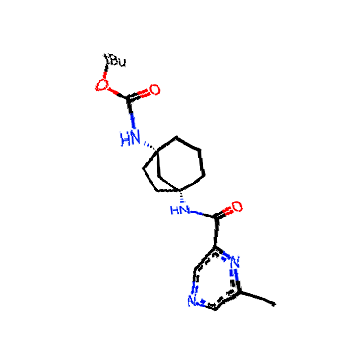 Cc1cncc(C(=O)N[C@]23CCC[C@](NC(=O)OC(C)(C)C)(CC2)C3)n1